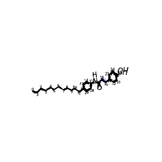 CCCCCCCCCCCCc1ccc(NC(=O)/C=C/c2ccc(O)cc2)cc1